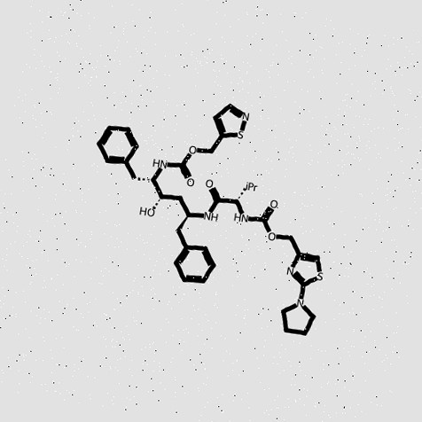 CC(C)[C@H](NC(=O)OCc1csc(N2CCCC2)n1)C(=O)N[C@@H](Cc1ccccc1)C[C@H](O)[C@H](Cc1ccccc1)NC(=O)OCc1ccns1